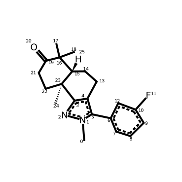 Cn1nc2c(c1-c1cccc(F)c1)CC[C@H]1C(C)(C)C(=O)CC[C@]21C